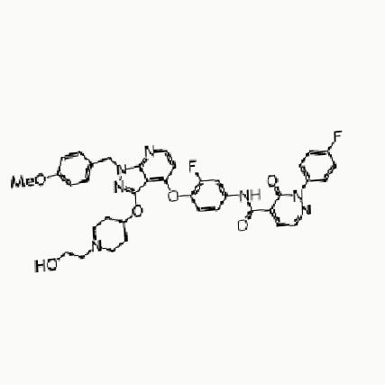 COc1ccc(Cn2nc(OC3CCN(CCO)CC3)c3c(Oc4ccc(NC(=O)c5ccnn(-c6ccc(F)cc6)c5=O)cc4F)ccnc32)cc1